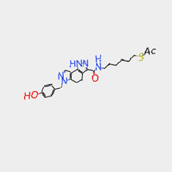 CC(=O)SCCCCCCNC(=O)c1n[nH]c2c1CCc1c-2cnn1Cc1ccc(O)cc1